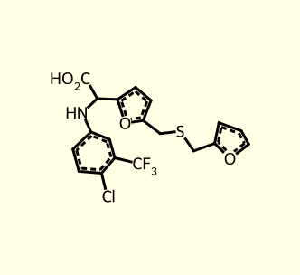 O=C(O)C(Nc1ccc(Cl)c(C(F)(F)F)c1)c1ccc(CSCc2ccco2)o1